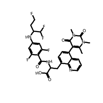 Cc1c(-c2ccc(CC(NC(=O)c3c(F)cc(NC(CCF)C(F)F)cc3F)C(=O)O)c3ncccc23)c(=O)n(C)c(=O)n1C